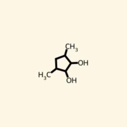 CC1CC(C)C(O)C1O